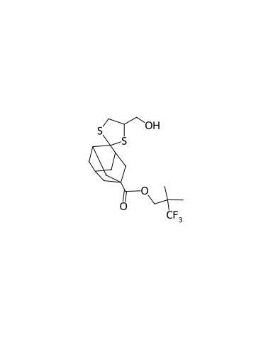 CC(C)(COC(=O)C12CC3CC(C1)C1(SCC(CO)S1)C(C3)C2)C(F)(F)F